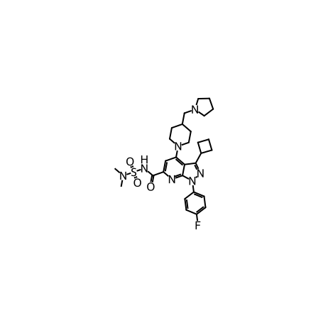 CN(C)S(=O)(=O)NC(=O)c1cc(N2CCC(CN3CCCC3)CC2)c2c(C3CCC3)nn(-c3ccc(F)cc3)c2n1